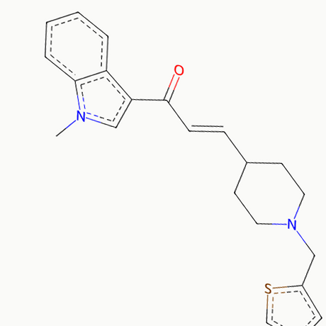 Cn1cc(C(=O)C=CC2CCN(Cc3cccs3)CC2)c2ccccc21